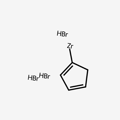 Br.Br.Br.[Zr][C]1=CC=CC1